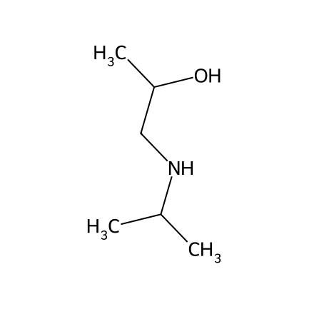 CC(O)CNC(C)C